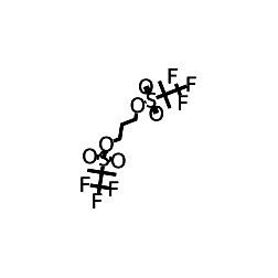 CC(C)(C(F)(F)F)S(=O)(=O)OCCCOS(=O)(=O)C(C)(C)C(F)(F)F